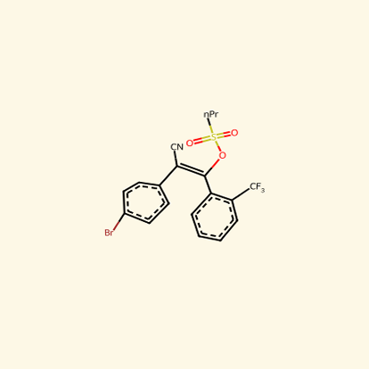 CCCS(=O)(=O)O/C(=C(\C#N)c1ccc(Br)cc1)c1ccccc1C(F)(F)F